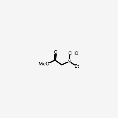 [CH2]CN(C=O)CC(=O)OC